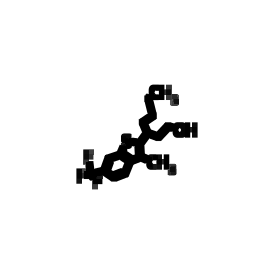 CCCCC(CCO)c1sc2cc(C(F)(F)F)ccc2c1C